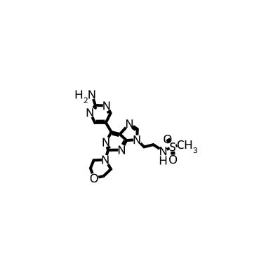 CS(=O)(=O)NCCn1cnc2c(-c3cnc(N)nc3)nc(N3CCOCC3)nc21